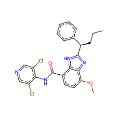 CCC[C@H](c1ccccc1)c1nc2c(OC)ccc(C(=O)Nc3c(Cl)cncc3Cl)c2[nH]1